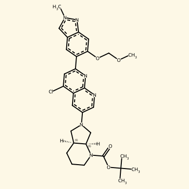 COCOc1cc2nn(C)cc2cc1-c1cc(Cl)c2cc(N3C[C@@H]4CCCN(C(=O)OC(C)(C)C)[C@@H]4C3)cnc2n1